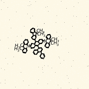 CC1(C)c2ccccc2-c2ccc(-c3c4cc(N5c6ccccc6C(C)(C)c6ccccc65)ccc4c(-c4ccc(-c5ccccc5)c5ccccc45)c4cc(N5c6ccccc6C(C)(C)c6ccccc65)ccc34)cc21